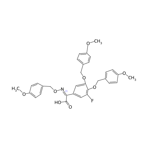 COc1ccc(CO/N=C(\C(=O)O)c2cc(F)c(OCc3ccc(OC)cc3)c(OCc3ccc(OC)cc3)c2)cc1